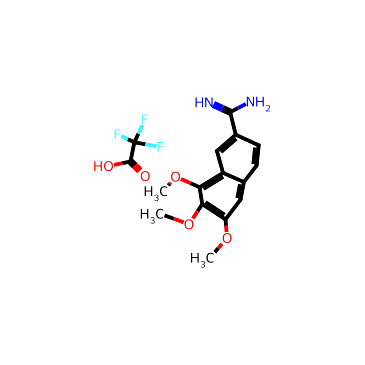 COc1cc2ccc(C(=N)N)cc2c(OC)c1OC.O=C(O)C(F)(F)F